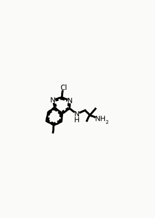 Cc1ccc2nc(Cl)nc(NCC(C)(C)N)c2c1